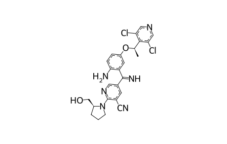 C[C@@H](Oc1ccc(N)c(C(=N)c2cnc(N3CCC[C@H]3CO)c(C#N)c2)c1)c1c(Cl)cncc1Cl